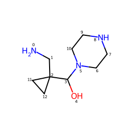 NCC1(C(O)N2CCNCC2)CC1